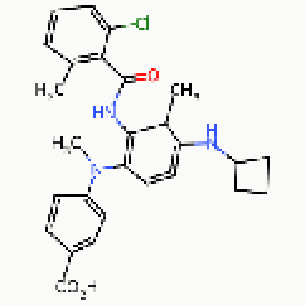 Cc1cccc(Cl)c1C(=O)NC1=C(N(C)c2ccc(C(=O)O)cc2)C=C=C(NC2CCC2)C1C